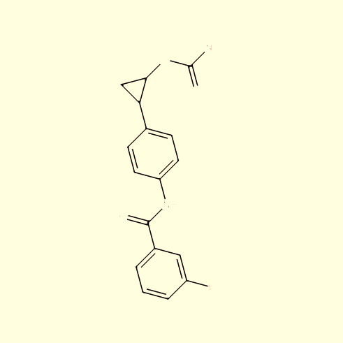 NC(=O)OC1CC1c1ccc(NC(=O)c2cccc(Br)c2)cc1